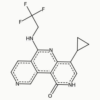 O=c1[nH]cc(C2CC2)c2nc(NCC(F)(F)F)c3ccncc3c12